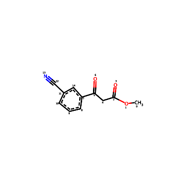 COC(=O)CC(=O)c1cccc(C#N)c1